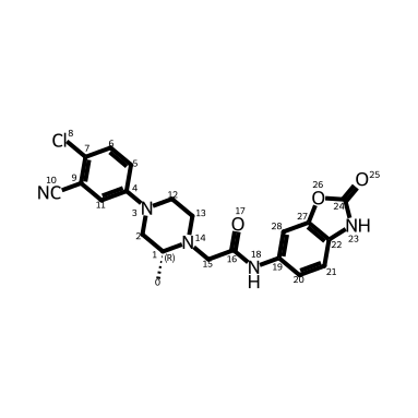 C[C@@H]1CN(c2ccc(Cl)c(C#N)c2)CCN1CC(=O)Nc1ccc2[nH]c(=O)oc2c1